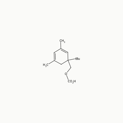 CC1=CC(COC(=O)O)(C(C)(C)C)CC(C)=C1